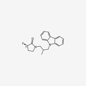 CC(CN1CC[C@@H](F)C1=O)Cn1c2ccccc2c2ccccc21